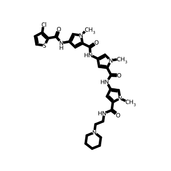 Cn1cc(NC(=O)c2cc(NC(=O)c3cc(NC(=O)c4sccc4Cl)cn3C)cn2C)cc1C(=O)NCCN1CCCCC1